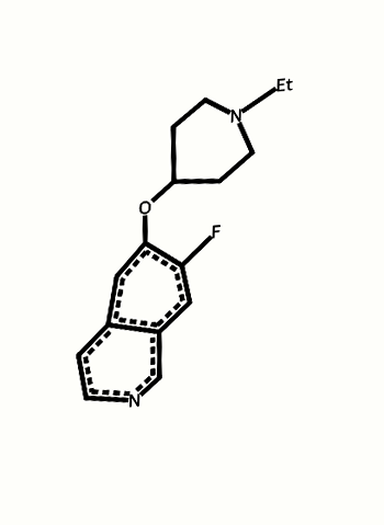 CCN1CCC(Oc2cc3ccncc3cc2F)CC1